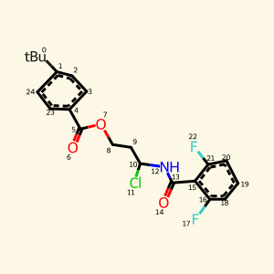 CC(C)(C)c1ccc(C(=O)OCCC(Cl)NC(=O)c2c(F)cccc2F)cc1